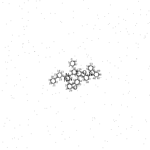 c1ccc(-c2cccc(-c3nc(-c4cccc(-c5ccccc5)c4)nc(-c4cccc5oc6ccc(-c7cccc8oc9c(-n%10c%11ccccc%11c%11ccccc%11%10)cccc9c78)cc6c45)n3)c2)cc1